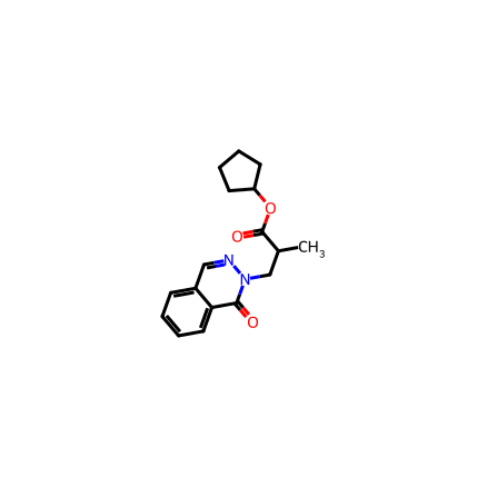 CC(Cn1ncc2ccccc2c1=O)C(=O)OC1CCCC1